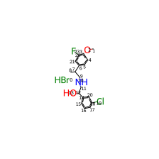 Br.COc1ccc(C(C)CNCC(O)c2cccc(Cl)c2)cc1F